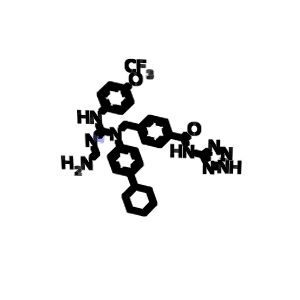 NC/N=C(/Nc1ccc(OC(F)(F)F)cc1)N(Cc1ccc(C(=O)Nc2nn[nH]n2)cc1)c1ccc(C2CCCCC2)cc1